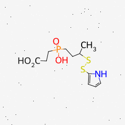 CC(CCP(=O)(O)CCC(=O)O)SSc1ccc[nH]1